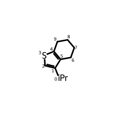 CC(C)c1csc2c1CCCC2